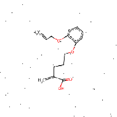 C=CCOc1ccccc1OCCCC(=C)C(=O)O